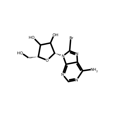 Nc1ncnc2c1nc(Br)n2[C@@H]1O[C@H](CO)C(O)C1O